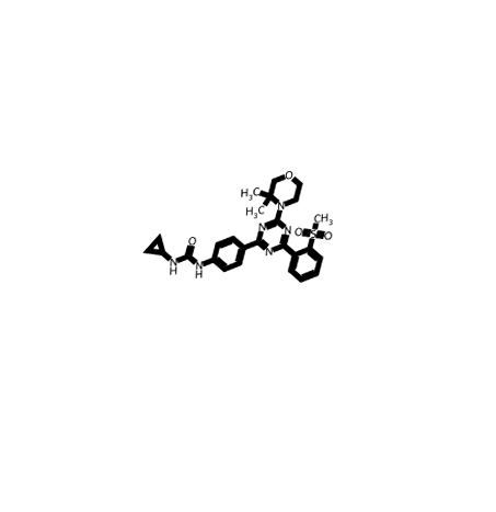 CC1(C)COCCN1c1nc(-c2ccc(NC(=O)NC3CC3)cc2)nc(-c2ccccc2S(C)(=O)=O)n1